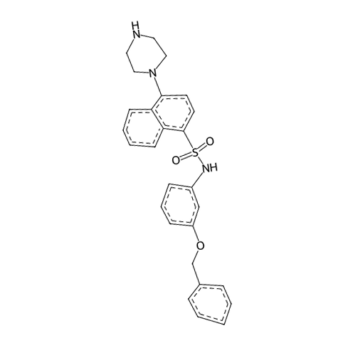 O=S(=O)(Nc1cccc(OCc2ccccc2)c1)c1ccc(N2CCNCC2)c2ccccc12